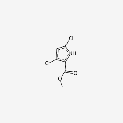 COC(=O)c1[nH]c(Cl)cc1Cl